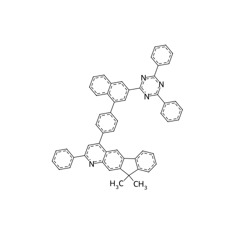 CC1(C)c2ccccc2-c2cc3c(-c4ccc(-c5cc(-c6nc(-c7ccccc7)nc(-c7ccccc7)n6)cc6ccccc56)cc4)cc(-c4ccccc4)nc3cc21